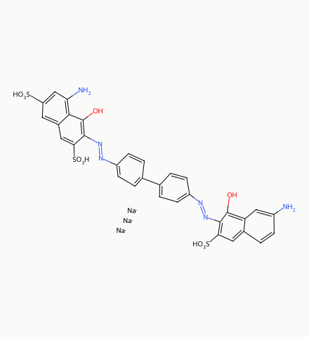 Nc1ccc2cc(S(=O)(=O)O)c(N=Nc3ccc(-c4ccc(N=Nc5c(S(=O)(=O)O)cc6cc(S(=O)(=O)O)cc(N)c6c5O)cc4)cc3)c(O)c2c1.[Na].[Na].[Na]